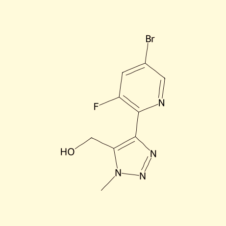 Cn1nnc(-c2ncc(Br)cc2F)c1CO